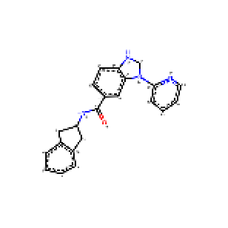 O=C(NC1Cc2ccccc2C1)c1ccc2c(c1)N(c1ccccn1)CN2